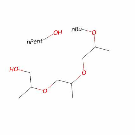 CCCCCO.CCCCOC(C)COC(C)COC(C)CO